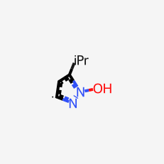 CC(C)c1c[c]nn1O